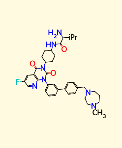 CC(C)[C@H](N)C(=O)NC1CCC(n2c(=O)c3cc(F)cnc3n(-c3cccc(-c4ccc(CN5CCCN(C)CC5)cc4)c3)c2=O)CC1